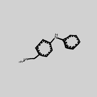 CCCNCc1ccc(Nc2ccccc2)cc1